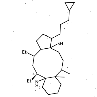 CCC1C[C@H](CC)C2(N)CCCCC2(C)C(C)CCC2(S)C(CCCC3CC3)CCC12